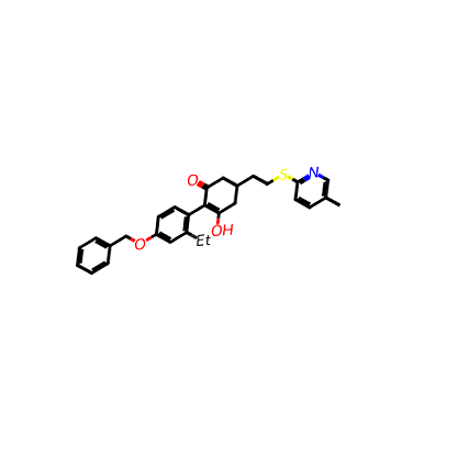 CCc1cc(OCc2ccccc2)ccc1C1=C(O)CC(CCSc2ccc(C)cn2)CC1=O